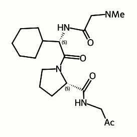 CNCC(=O)N[C@H](C(=O)N1CCC[C@H]1C(=O)NCC(C)=O)C1CCCCC1